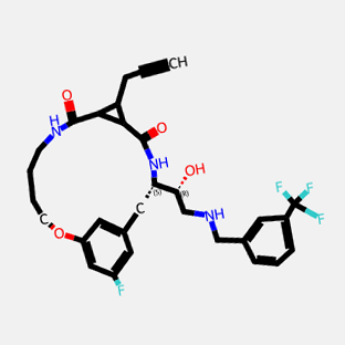 C#CCC1C2C(=O)NCCCCOc3cc(F)cc(c3)C[C@@H]([C@H](O)CNCc3cccc(C(F)(F)F)c3)NC(=O)C12